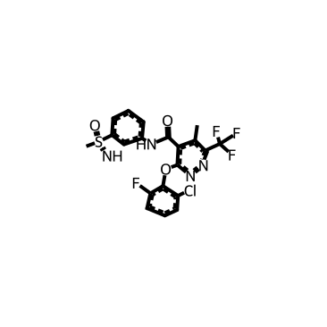 Cc1c(C(F)(F)F)nnc(Oc2c(F)cccc2Cl)c1C(=O)Nc1cccc(S(C)(=N)=O)c1